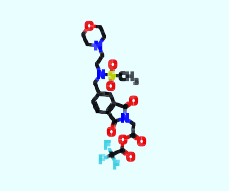 CS(=O)(=O)N(CCN1CCOCC1)Cc1ccc2c(c1)C(=O)N(CC(=O)OC(=O)C(F)(F)F)C2=O